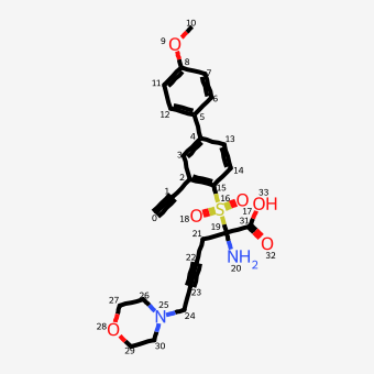 C#Cc1cc(-c2ccc(OC)cc2)ccc1S(=O)(=O)C(N)(CC#CCN1CCOCC1)C(=O)O